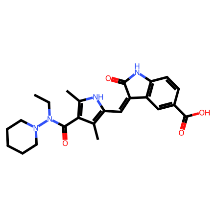 CCN(C(=O)c1c(C)[nH]c(C=C2C(=O)Nc3ccc(C(=O)O)cc32)c1C)N1CCCCC1